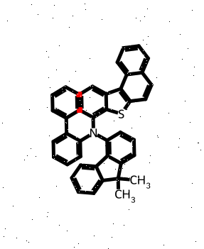 CC1(C)c2ccccc2-c2c(N(c3ccccc3-c3ccccc3)c3cccc4c3sc3ccc5ccccc5c34)cccc21